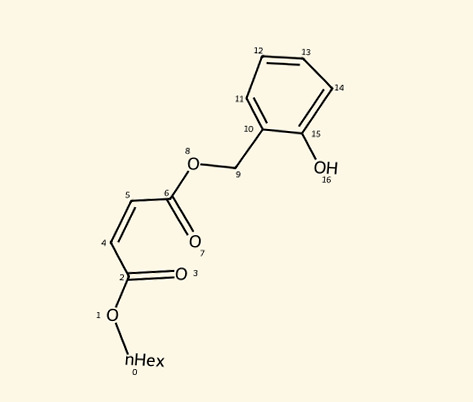 CCCCCCOC(=O)/C=C\C(=O)OCc1ccccc1O